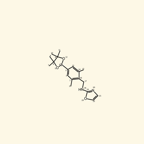 Cc1cc(B2OC(C)(C)C(C)(C)O2)cc(C)c1CNc1ncco1